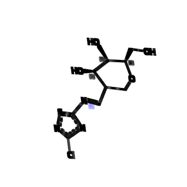 OC[C@H]1OCC(/C=N/c2nc(Cl)ns2)[C@@H](O)[C@H]1O